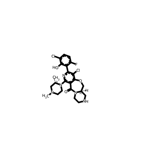 C[C@H]1CN(C)CCN1c1nc(-c2c(F)ccc(Cl)c2O)c(Cl)c2c1C(=O)N1CCNC[C@@H]1CO2